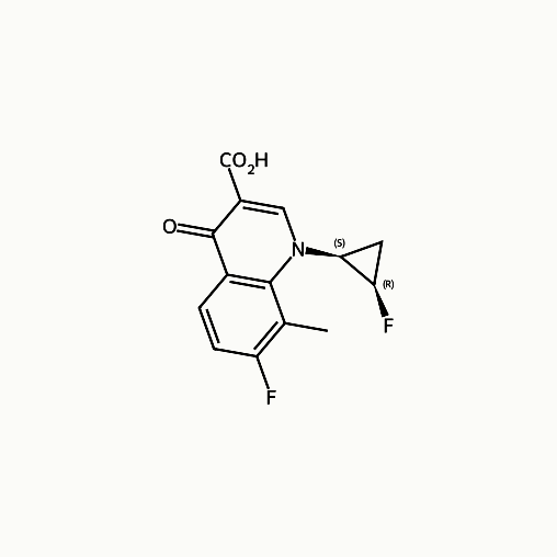 Cc1c(F)ccc2c(=O)c(C(=O)O)cn([C@H]3C[C@H]3F)c12